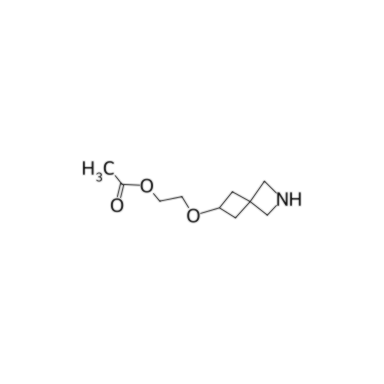 CC(=O)OCCOC1CC2(CNC2)C1